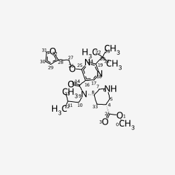 COC(=O)[C@H]1CNC[C@@H](N(CC(C)C)C(=O)c2cnc(C(C)(C)C)nc2OCc2ccco2)C1